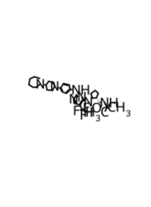 CC(C)NC(=O)[C@H]1CCC[C@H]1Nc1nc(Nc2ccc(N3CCC(N4CCCCCC4)CC3)cc2)ncc1C(F)(F)F